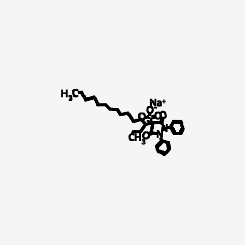 CCCCCCCCCCCCC(CCC)C1(S(=O)(=O)[O-])C(=O)N(c2ccccc2)N(c2ccccc2)C1=O.[Na+]